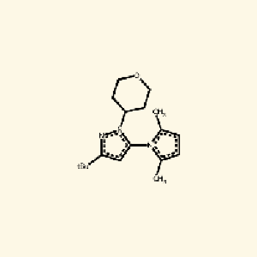 Cc1ccc(C)n1-c1cc(C(C)(C)C)nn1C1CCOCC1